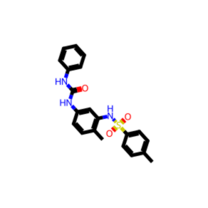 Cc1ccc(S(=O)(=O)Nc2cc(NC(=O)Nc3ccccc3)ccc2C)cc1